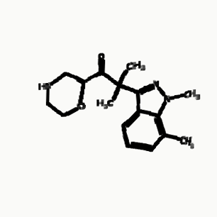 Cc1cccc2c(C(C)(C)C(=O)[C@@H]3CNCCO3)nn(C)c12